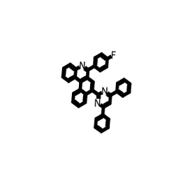 Fc1ccc(-c2nc3ccccc3c3c2cc(-c2nc(-c4ccccc4)cc(-c4ccccc4)n2)c2ccccc23)cc1